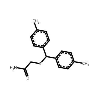 Cc1ccc(C(SCC(N)=O)c2ccc(C)cc2)cc1